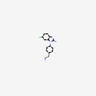 CCc1nc2ccc(Cl)cc2n1-c1ccc(CCN)cc1